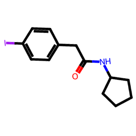 O=C(Cc1ccc(I)cc1)NC1CCCC1